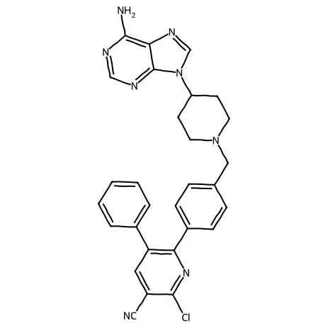 N#Cc1cc(-c2ccccc2)c(-c2ccc(CN3CCC(n4cnc5c(N)ncnc54)CC3)cc2)nc1Cl